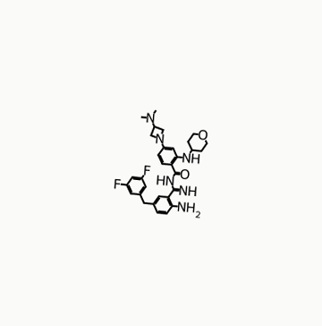 CN(C)C1CN(c2ccc(C(=O)NC(=N)c3cc(Cc4cc(F)cc(F)c4)ccc3N)c(NC3CCOCC3)c2)C1